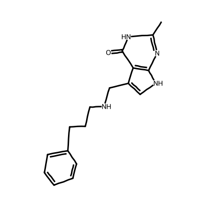 Cc1nc2[nH]cc(CNCCCc3ccccc3)c2c(=O)[nH]1